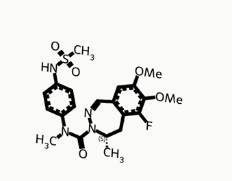 COc1cc2c(c(F)c1OC)C[C@H](C)N(C(=O)N(C)c1ccc(NS(C)(=O)=O)cc1)N=C2